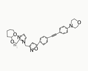 C[C@H](OC1CCCCO1)c1nccn1Cc1cc(-c2ccc(C#Cc3ccc(N4CCOCC4)cc3)cc2)on1